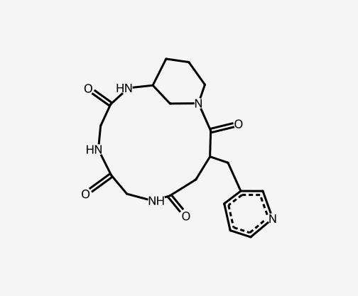 O=C1CNC(=O)CC(Cc2cccnc2)C(=O)N2CCCC(C2)NC(=O)CN1